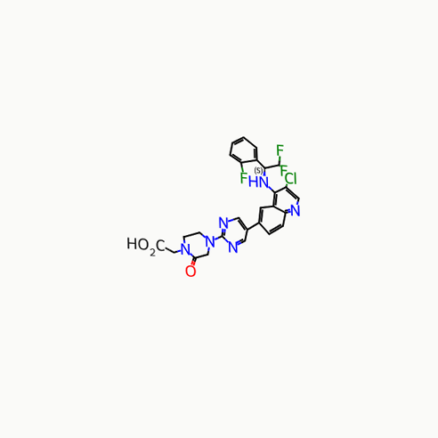 O=C(O)CN1CCN(c2ncc(-c3ccc4ncc(Cl)c(N[C@@H](c5ccccc5F)C(F)F)c4c3)cn2)CC1=O